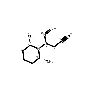 C[C@@H]1CCC[C@H](C)N1N(CC#N)N=O